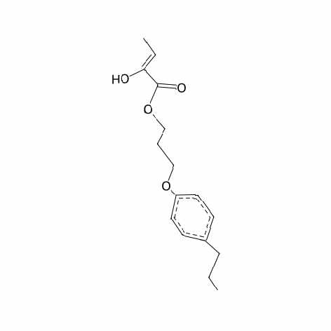 CC=C(O)C(=O)OCCCOc1ccc(CCC)cc1